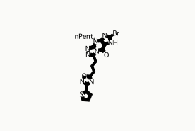 CCCCCn1c2nc(Br)[nH]c2c(=O)n2c(CCCc3nc(-c4cccs4)no3)nnc12